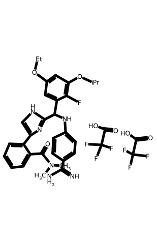 CCOc1cc(OC(C)C)c(F)c(C(Nc2ccc(C(=N)N)cc2)c2nc(-c3ccccc3C(=O)N(C)C)c[nH]2)c1.O=C(O)C(F)(F)F.O=C(O)C(F)(F)F